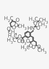 C=C(CC(=O)OC)C(=O)OC.COC(=O)CC(=Cc1cc(C(=O)OC(C)(C)C)ccc1CNC(=O)OC(C)(C)C)C(=O)OC